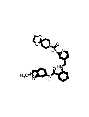 Cn1cc2ccc(NC(=O)c3ccccc3NCc3ccnc(NC(=O)N4CCC5(CC4)OCCO5)c3)cc2n1